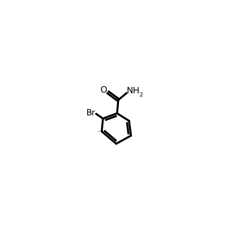 NC(=O)c1ccc[c]c1Br